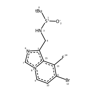 CC(C)(C)[S+]([O-])NCc1ncn2ccc(Br)c(F)c12